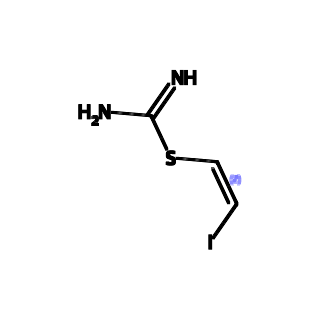 N=C(N)S/C=C\I